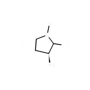 CN1CC[C@H](N)C1O.Cl